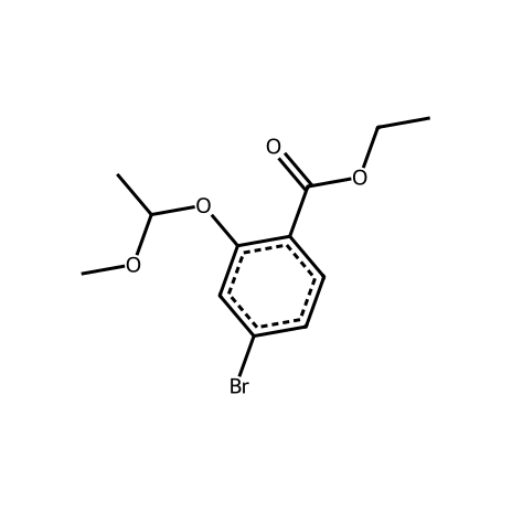 CCOC(=O)c1ccc(Br)cc1OC(C)OC